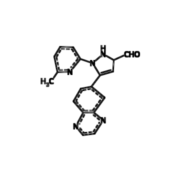 Cc1cccc(N2NC(C=O)C=C2c2ccc3nccnc3c2)n1